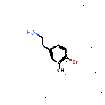 Cc1cc(CCN)ccc1Br